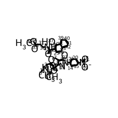 CCN(CC(=O)OCc1c(C)nn(-c2ccc([N+](=O)[O-])cc2)c1Oc1cc(C(=O)NCCC(=O)OC)c(O)c2ccccc12)C(C)=O